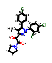 Cc1c(C(=O)C(=O)N2CCCC2)nn(-c2ccc(Cl)cc2Cl)c1-c1ccc(Cl)cc1